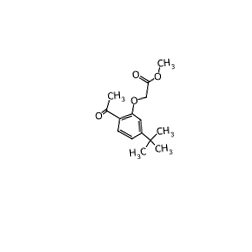 COC(=O)COc1cc(C(C)(C)C)ccc1C(C)=O